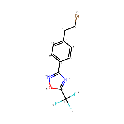 FC(F)(F)c1nc(-c2ccc(CCBr)cc2)no1